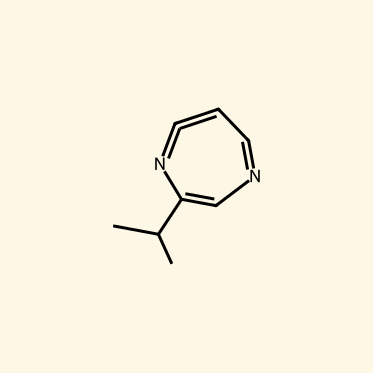 CC(C)C1=CN=CC=C=N1